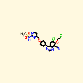 CS(=O)(=O)Nc1nccc(COc2ccc(-c3ncnc4c(C#N)c(OCCCl)c(Cl)cc34)cc2)n1